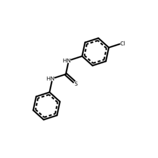 S=C(Nc1ccccc1)Nc1ccc(Cl)cc1